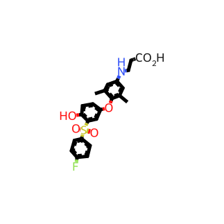 Cc1cc(NCCC(=O)O)cc(C)c1Oc1ccc(O)c(S(=O)(=O)c2ccc(F)cc2)c1